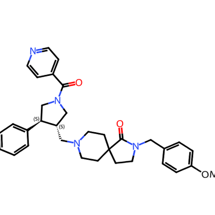 COc1ccc(CN2CCC3(CCN(C[C@H]4CN(C(=O)c5ccncc5)C[C@@H]4c4ccccc4)CC3)C2=O)cc1